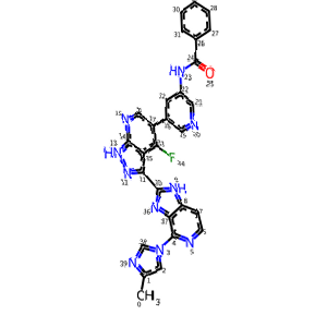 Cc1cn(-c2nccc3[nH]c(-c4n[nH]c5ncc(-c6cncc(NC(=O)c7ccccc7)c6)c(F)c45)nc23)cn1